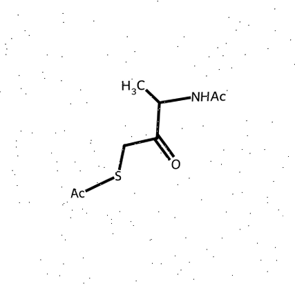 CC(=O)NC(C)C(=O)CSC(C)=O